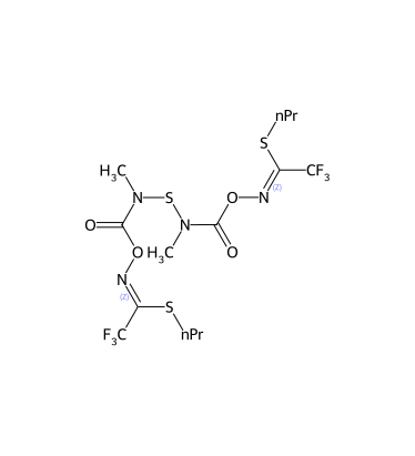 CCCS/C(=N\OC(=O)N(C)SN(C)C(=O)O/N=C(\SCCC)C(F)(F)F)C(F)(F)F